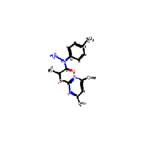 COc1cc(OC)nc(SC(C(=O)N(N)c2ccc([N+](=O)[O-])cc2)C(C)C)n1